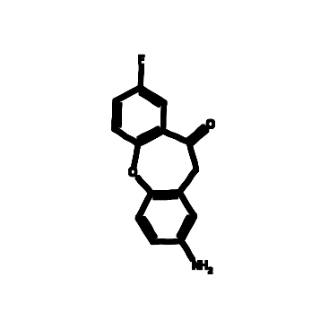 Nc1ccc2c(c1)CC(=O)c1cc(F)ccc1O2